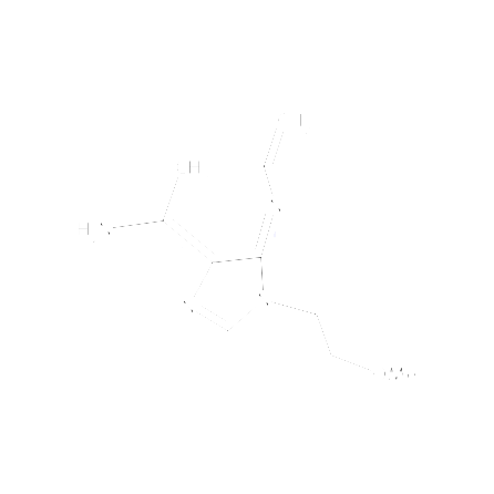 C=C/N=C1\C(=C(/C)N)N=CN1CCOC